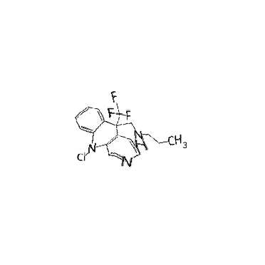 CCCNCC1(C(F)(F)F)c2ccccc2N(Cl)c2cnccc21